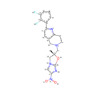 C[C@]1(CN2CCc3nc(-c4cccc(F)c4F)ccc3C2)Cn2cc([N+](=O)[O-])nc2O1